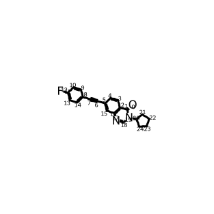 O=c1c2ccc(C#Cc3ccc(F)cc3)cc2ncn1C1CCCC1